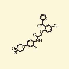 Cc1cc(N2CCS(=O)(=O)CC2)ccc1NC(=O)COc1ccc(Cl)cc1C(=O)c1cccs1